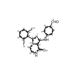 O=Cc1ccc(Nc2nc(-c3c(F)cccc3F)n3cc[nH]c(=O)c23)cc1